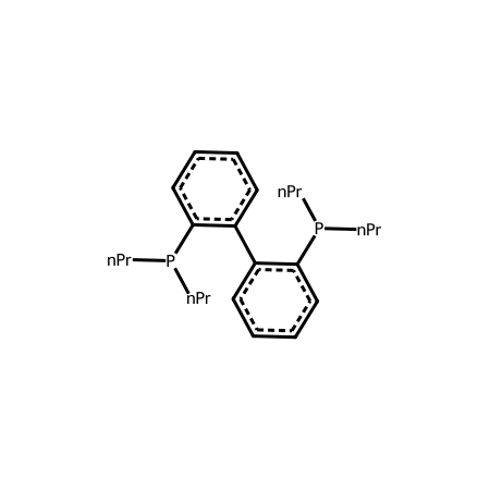 CCCP(CCC)c1ccccc1-c1ccccc1P(CCC)CCC